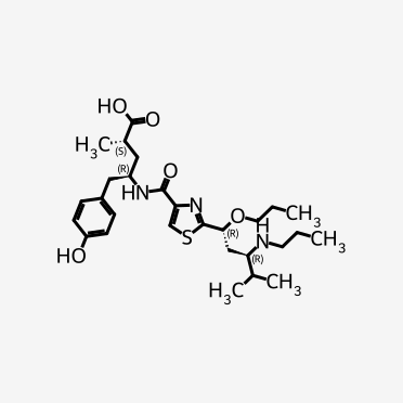 CCCN[C@H](C[C@@H](OCCC)c1nc(C(=O)N[C@@H](Cc2ccc(O)cc2)C[C@H](C)C(=O)O)cs1)C(C)C